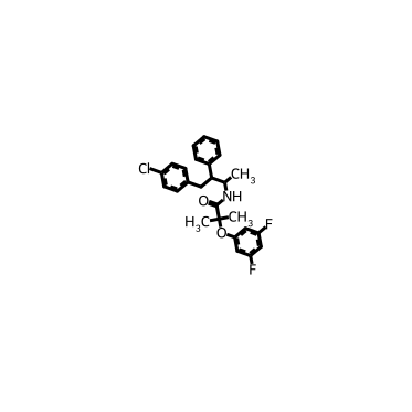 CC(NC(=O)C(C)(C)Oc1cc(F)cc(F)c1)C(Cc1ccc(Cl)cc1)c1ccccc1